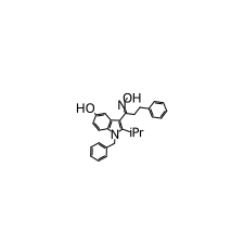 CC(C)c1c(C(CCc2ccccc2)=NO)c2cc(O)ccc2n1Cc1ccccc1